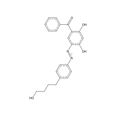 O=C(c1ccccc1)c1cc(/N=N/c2ccc(CCCCO)cc2)c(O)cc1O